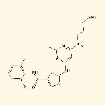 CNCCCN(C)c1cc(Nc2ncc(C(=O)Nc3c(C)cccc3Cl)s2)nc(C)n1